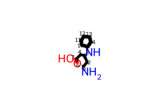 NCCC(CC(=O)O)Nc1ccccc1